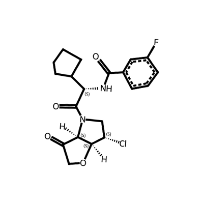 O=C(N[C@H](C(=O)N1C[C@H](Cl)[C@H]2OCC(=O)[C@H]21)C1CCCC1)c1cccc(F)c1